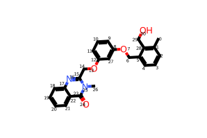 Cc1cccc(COc2cccc(OCc3nc4ccccc4c(=O)n3C)c2)c1CO